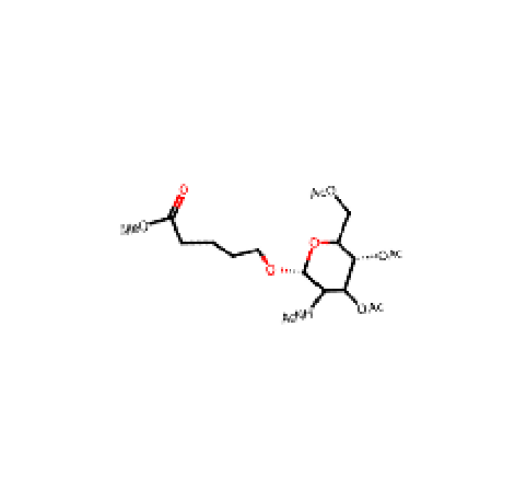 COC(=O)CCCCO[C@@H]1OC(COC(C)=O)[C@H](OC(C)=O)C(OC(C)=O)C1NC(C)=O